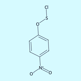 O=[N+]([O-])c1ccc(OSCl)cc1